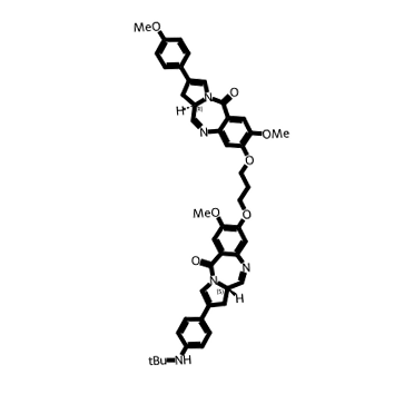 COc1ccc(C2=CN3C(=O)c4cc(OC)c(OCCCOc5cc6c(cc5OC)C(=O)N5C=C(c7ccc(NC(C)(C)C)cc7)C[C@H]5C=N6)cc4N=C[C@H]3C2)cc1